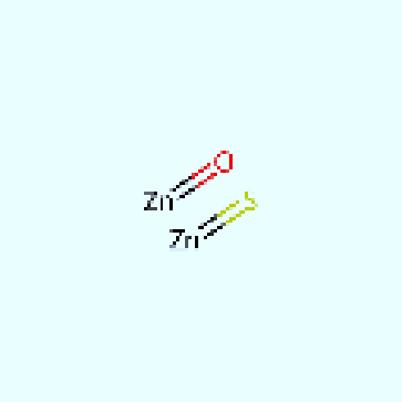 [O]=[Zn].[S]=[Zn]